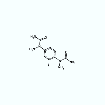 Cc1cc(N(N)C(N)=O)ccc1N(N)C(N)=O